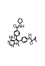 C=C(C)C(=O)Nc1ccc(-c2c(-c3ccc(C(=O)NC4CCCC4)cc3)c3c(N)ncnc3n2C)cc1